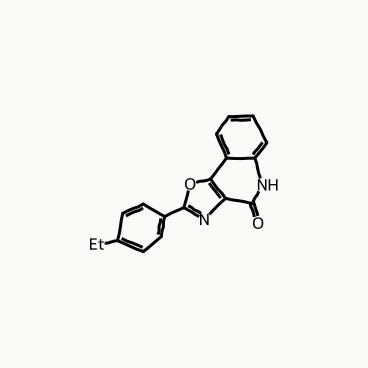 CCc1ccc(-c2nc3c(=O)[nH]c4ccccc4c3o2)cc1